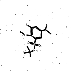 COc1c(F)cc(C(C)C)cc1S(=O)(=O)NC(C)(C)C